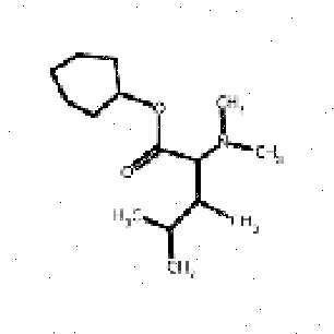 CC(C)C(C)C(C(=O)OC1CCCCC1)N(C)C